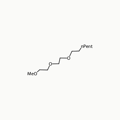 CCCCCCCOCCOCCOC